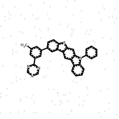 Cc1cc(-c2ccc3sc4cc5c(cc4c3c2)c2ccccc2n5-c2ccccc2)cc(-c2ncncn2)c1